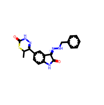 CC1SC(=O)NN=C1c1ccc2c(c1)/C(=N/NCc1ccccc1)C(=O)N2